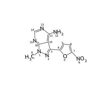 Cn1nc(-c2ccc([N+](=O)[O-])o2)c2c(N)ncnc21